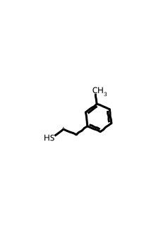 Cc1cccc(C[CH]S)c1